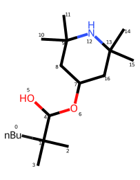 CCCCC(C)(C)C(O)OC1CC(C)(C)NC(C)(C)C1